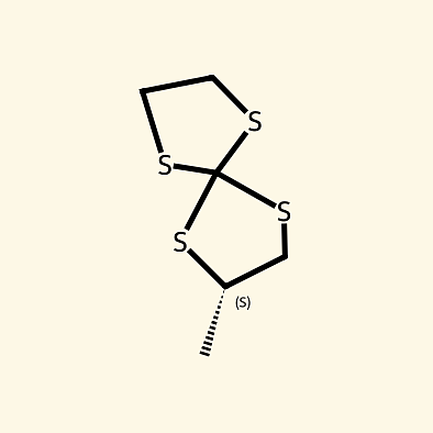 C[C@H]1CSC2(SCCS2)S1